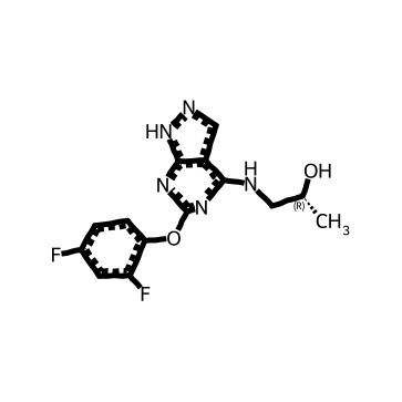 C[C@@H](O)CNc1nc(Oc2ccc(F)cc2F)nc2[nH]ncc12